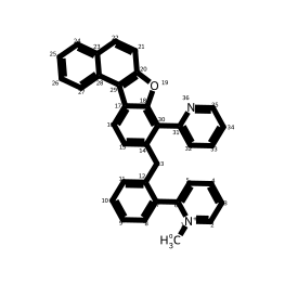 C[n+]1ccccc1-c1ccccc1Cc1ccc2c(oc3ccc4ccccc4c32)c1-c1ccccn1